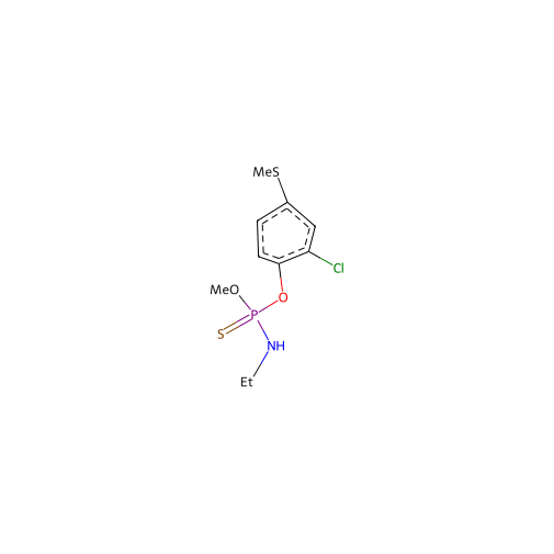 CCNP(=S)(OC)Oc1ccc(SC)cc1Cl